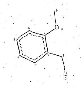 [Li][CH2]c1ccccc1OC